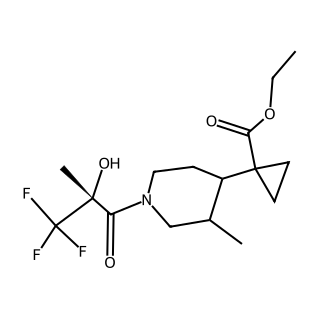 CCOC(=O)C1(C2CCN(C(=O)[C@@](C)(O)C(F)(F)F)CC2C)CC1